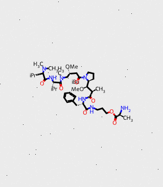 CC[C@H](C)C([C@@H](CC(=O)N1CCC[C@H]1[C@H](OC)[C@@H](C)C(=O)N[C@@H](Cc1ccccc1)C(=O)NCCCOC(=O)[C@H](C)N)OC)N(C)C(=O)[C@@H](NC(=O)C(C(C)C)N(C)C)C(C)C